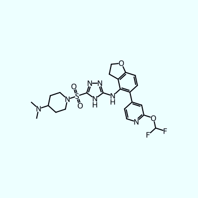 CN(C)C1CCN(S(=O)(=O)c2nnc(Nc3c(-c4ccnc(OC(F)F)c4)ccc4c3CCO4)[nH]2)CC1